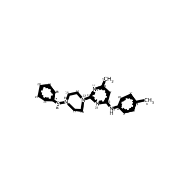 Cc1ccc(Nc2cc(C)nc(N3CCN(Sc4ccccc4)CC3)n2)cc1